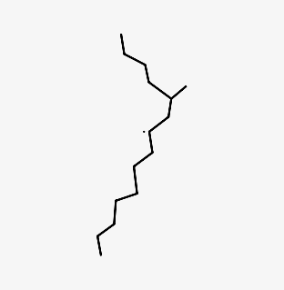 CCCCCCC[CH]CC(C)CCCC